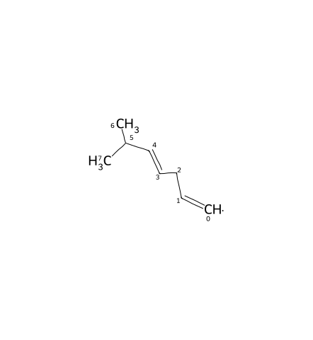 [CH]=CCC=CC(C)C